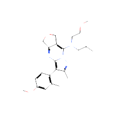 CCCN(CCOC)c1c2c(nc3c(-c4ccc(OC)cc4C)c(C)nn13)COC2.Cl